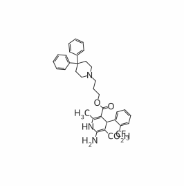 CC1=C(C(=O)OCCCN2CCC(c3ccccc3)(c3ccccc3)CC2)C(c2ccccc2C(F)(F)F)C(C(=O)O)=C(N)N1